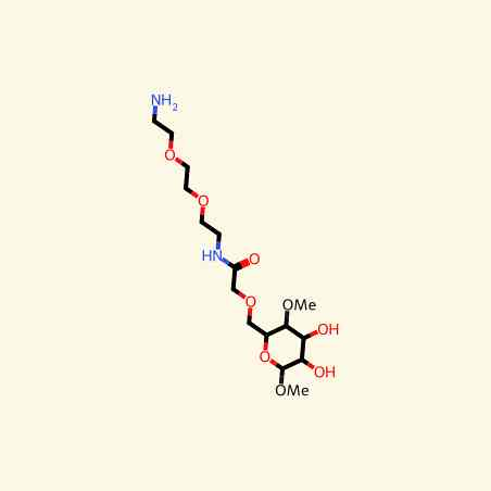 COC1OC(COCC(=O)NCCOCCOCCN)C(OC)C(O)C1O